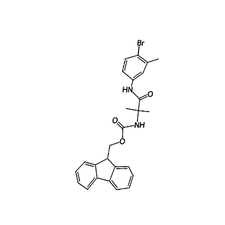 Cc1cc(NC(=O)C(C)(C)NC(=O)OCC2c3ccccc3-c3ccccc32)ccc1Br